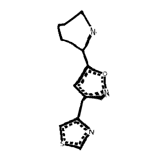 c1nc(-c2cc(C3CCC[N]3)on2)cs1